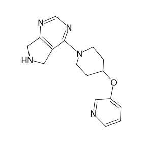 c1cncc(OC2CCN(c3ncnc4c3CNC4)CC2)c1